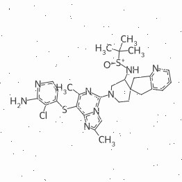 Cc1cn2c(N3CCC4(Cc5cccnc5C4)C(N[S+]([O-])C(C)(C)C)C3)nc(C)c(Sc3ccnc(N)c3Cl)c2n1